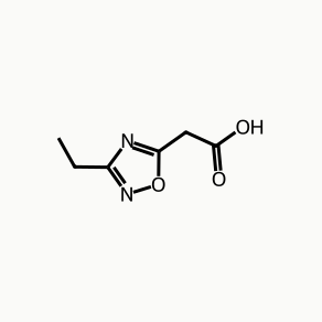 CCc1noc(CC(=O)O)n1